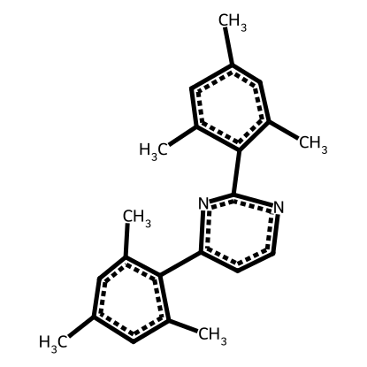 Cc1cc(C)c(-c2ccnc(-c3c(C)cc(C)cc3C)n2)c(C)c1